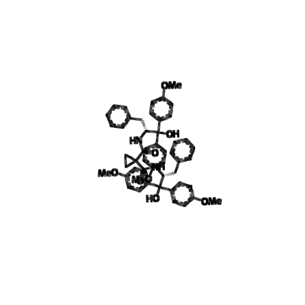 COc1ccc(C(O)(c2ccc(OC)cc2)[C@@H](Cc2ccccc2)NC(=O)C2(C(=O)N[C@H](Cc3ccccc3)C(O)(c3ccc(OC)cc3)c3ccc(OC)cc3)CC2)cc1